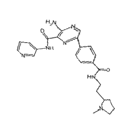 CN1CCCC1CCNC(=O)c1ccc(-c2cnc(N)c(C(=O)Nc3cccnc3)n2)cc1